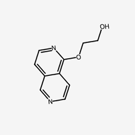 OCCOc1nccc2cnccc12